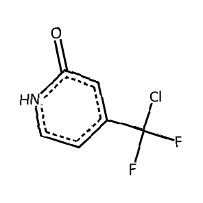 O=c1cc(C(F)(F)Cl)cc[nH]1